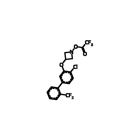 O=C(ON1CC(Oc2cc(-c3ccccc3C(F)(F)F)ccc2Cl)C1)C(F)(F)F